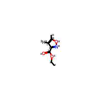 [2H]c1c(C(=O)OCC)noc1C